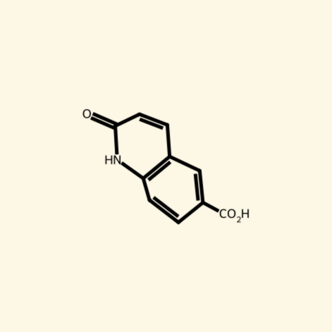 O=C(O)c1ccc2[nH]c(=O)ccc2c1